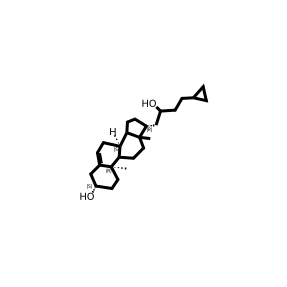 CC12CCC3[C@@H](CC=C4C[C@@H](O)CC[C@@]43C)C1CC[C@@H]2CC(O)CCC1CC1